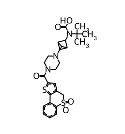 CC(C)(C)N(C(=O)O)C1C2CC1C2N1CCN(C(=O)c2cc3c(s2)-c2ccccc2S(=O)(=O)C3)CC1